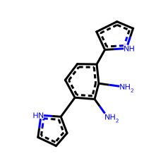 Nc1c(-c2ccc[nH]2)ccc(-c2ccc[nH]2)c1N